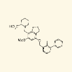 COc1cc(OCc2cccc(-c3ccccc3)c2C)c2c(c1CN1CCCCC1C(=O)O)CCC2